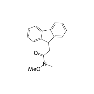 CON(C)C(=O)CC1c2ccccc2-c2ccccc21